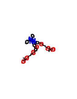 CCC1(COCCCCCOCc2ccc3oc4c(ccc5c4c4cc(COCCCCCOCC6(CC)COC6)ccc4n5-c4nc(-c5ccccc5)nc(-c5ccccc5)n4)c3c2)COC1